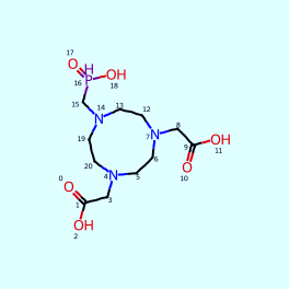 O=C(O)CN1CCN(CC(=O)O)CCN(C[PH](=O)O)CC1